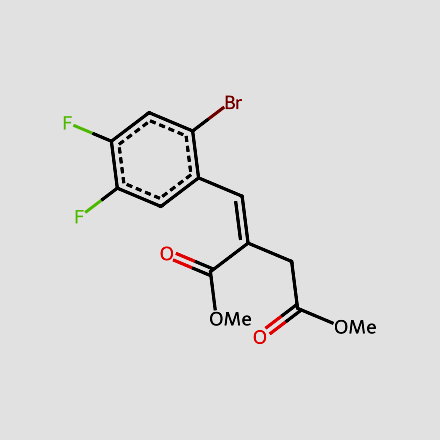 COC(=O)CC(=Cc1cc(F)c(F)cc1Br)C(=O)OC